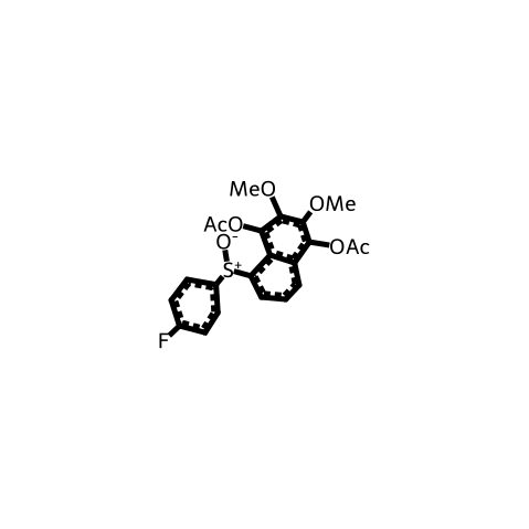 COc1c(OC)c(OC(C)=O)c2c([S+]([O-])c3ccc(F)cc3)cccc2c1OC(C)=O